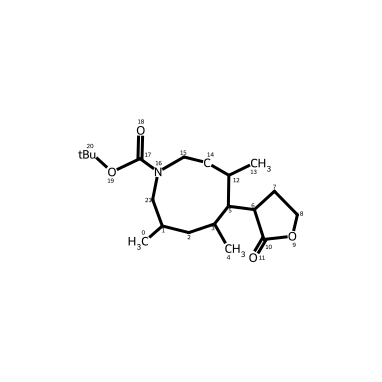 CC1CC(C)C(C2CCOC2=O)C(C)CCN(C(=O)OC(C)(C)C)C1